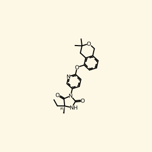 CC[C@@]1(C)NC(=O)N(c2ccc(Oc3cccc4c3CC(C)(C)OC4)nc2)C1=O